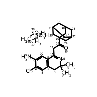 CC1(C)Cc2cc(Cl)c(N)cc2C(CC(=O)C23CC4CC(CC(C4)C2)C3)=N1.CS(=O)(=O)O.CS(=O)(=O)O